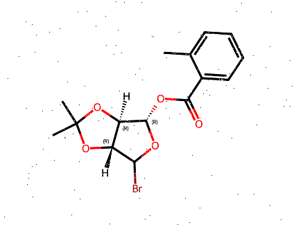 Cc1ccccc1C(=O)O[C@@H]1OC(Br)[C@@H]2OC(C)(C)O[C@@H]12